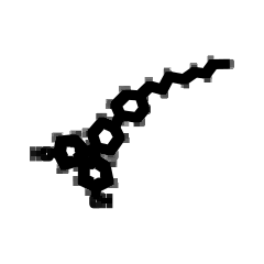 CCCCCCCCC1CCC(C2CCC(c3ccc(O)cc3)(c3ccc(O)cc3)CC2)CC1